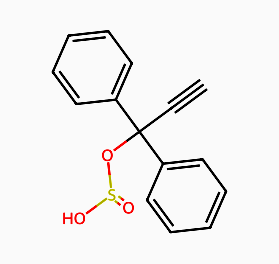 C#CC(OS(=O)O)(c1ccccc1)c1ccccc1